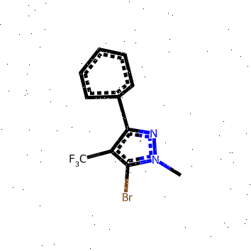 Cn1nc(-c2ccccc2)c(C(F)(F)F)c1Br